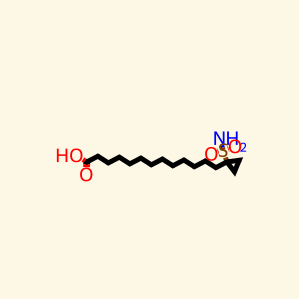 NS(=O)(=O)C1(CCCCCCCCCCCCC(=O)O)CC1